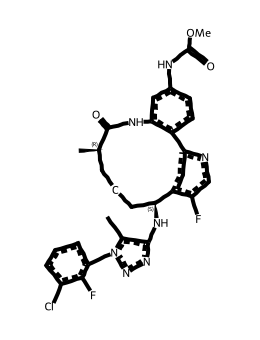 COC(=O)Nc1ccc2c(c1)NC(=O)[C@H](C)CCC[C@H](Nc1nnn(-c3cccc(Cl)c3F)c1C)c1cc-2ncc1F